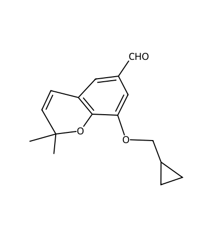 CC1(C)C=Cc2cc(C=O)cc(OCC3CC3)c2O1